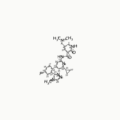 CN(C)Cc1c[nH]c(=O)c(C(=O)Nc2cc(-c3ccc(F)cc3-c3nncn3C)cc(C3CC3)n2)c1